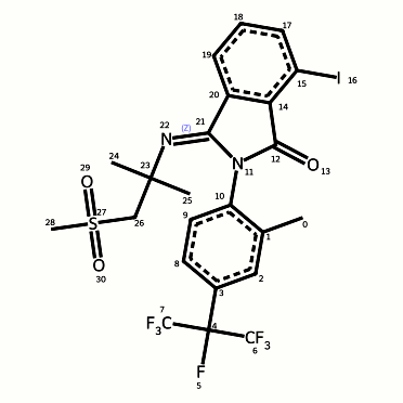 Cc1cc(C(F)(C(F)(F)F)C(F)(F)F)ccc1N1C(=O)c2c(I)cccc2/C1=N/C(C)(C)CS(C)(=O)=O